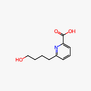 O=C(O)c1cccc(CCCCO)n1